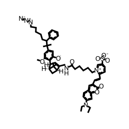 CCN(CC)c1ccc2cc(/C=C/c3ccc(S(=O)(=O)[O-])c[n+]3CCCCCC(=O)NCC3=C[C@H](c4c(OC)cc(C(C)(C)C(CCCCCN=[N+]=[N-])c5ccccc5)cc4OC)[C@@H]4C[C@H]3C4(C)C)c(=O)oc2c1